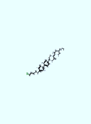 CCC[C@H]1CC[C@H]([C@H]2CC[C@H](c3ccc(-c4ccc(CCCCCF)cc4)cc3)CC2)CC1